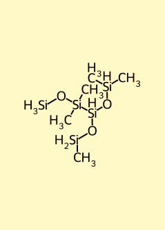 C[SiH2]O[SiH](O[SiH](C)C)[Si](C)(C)O[SiH3]